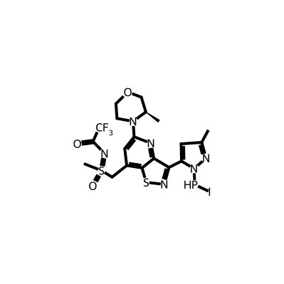 Cc1cc(-c2nsc3c(CS(C)(=O)=NC(=O)C(F)(F)F)cc(N4CCOC[C@H]4C)nc23)n(PI)n1